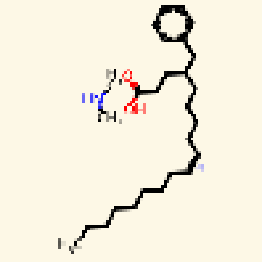 CCCCCCCC/C=C\CCCCC(CCC(=O)O)Cc1ccccc1.CNC